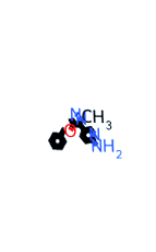 Cn1ncc(OCc2ccccc2)c1-c1ccc(N)nc1